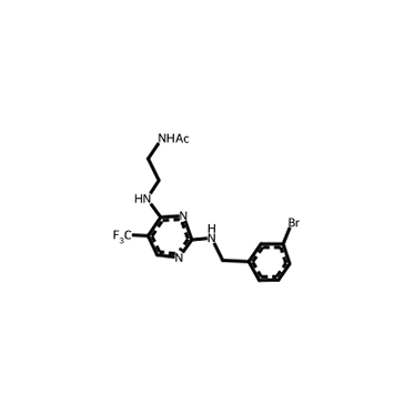 CC(=O)NCCNc1nc(NCc2cccc(Br)c2)ncc1C(F)(F)F